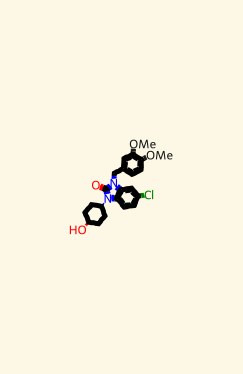 COc1ccc(Cn2c(=O)n([C@H]3CC[C@H](O)CC3)c3ccc(Cl)cc32)cc1OC